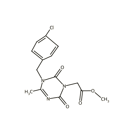 COC(=O)Cn1c(=O)nc(C)n(Cc2ccc(Cl)cc2)c1=O